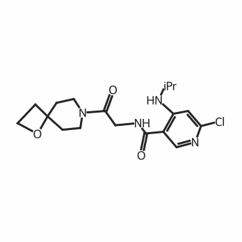 CC(C)Nc1cc(Cl)ncc1C(=O)NCC(=O)N1CCC2(CCO2)CC1